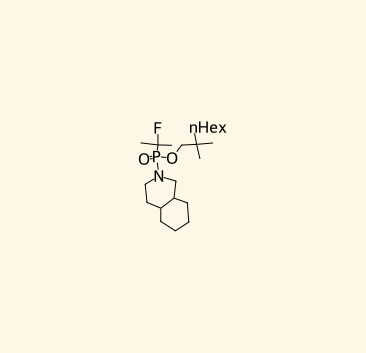 CCCCCCC(C)(C)COP(=O)(N1CCC2CCCCC2C1)C(C)(C)F